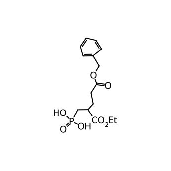 CCOC(=O)C(CCC(=O)OCc1ccccc1)CP(=O)(O)O